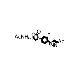 CC(=O)NC[C@H]1CN(c2ccc(-n3cc(C(C)=O)nn3)c(F)c2)C(=O)O1